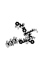 CC(C)CC(NC(=O)C(Cc1ccccc1)NC(=O)C(N)Cc1ccccc1)C(=O)NC(CCCCN)C(=O)N1CCC2(CC1)CN(C(=O)C(N)Cc1ccccc1)C2.O=C(O)C(F)(F)F.O=C(O)C(F)(F)F.O=C(O)C(F)(F)F